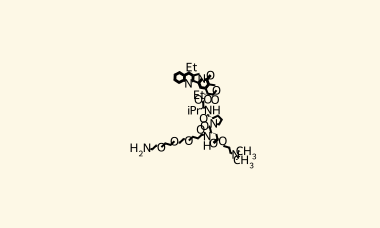 CCc1c2c(nc3ccccc13)-c1cc3c(c(=O)n1C2)COC(=O)[C@@]3(CC)OC(=O)[C@@H](NC(=O)[C@@H]1CCCN1C(=O)[C@H](CC(=O)OCCCN(C)C)NC(=O)CCOCCOCCOCCN)C(C)C